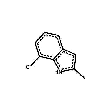 Cc1cc2cccc(Cl)c2[nH]1